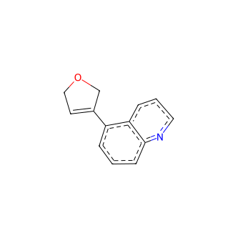 C1=C(c2cccc3ncccc23)COC1